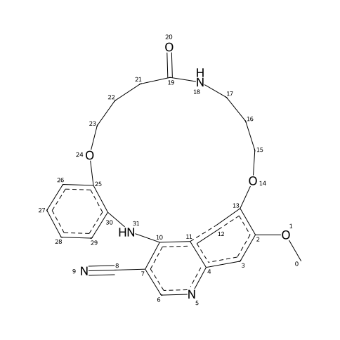 COc1cc2ncc(C#N)c3c2cc1OCCCNC(=O)CCCOc1ccccc1N3